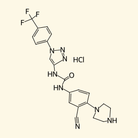 Cl.N#Cc1cc(NC(=O)Nc2cn(-c3ccc(C(F)(F)F)cc3)nn2)ccc1N1CCNCC1